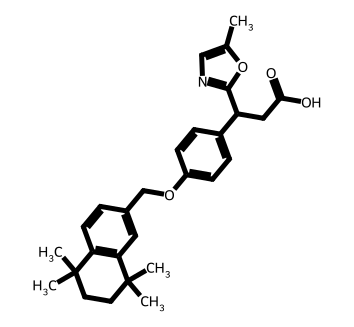 Cc1cnc(C(CC(=O)O)c2ccc(OCc3ccc4c(c3)C(C)(C)CCC4(C)C)cc2)o1